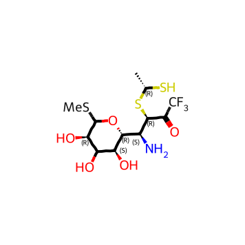 CSC1O[C@H]([C@H](N)[C@@H](S[C@H](C)S)C(=O)C(F)(F)F)[C@@H](O)C(O)[C@H]1O